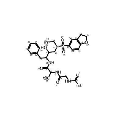 CCC(=O)NCC(=O)NC(C(=O)NC(Cc1ccccc1)C(O)CN(CC(C)C)S(=O)(=O)c1ccc2c(c1)CCO2)C(C)(C)C